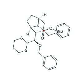 CC(C)(C)OC(=O)N1[C@H]2CC[C@@H]1[C@@H]([C@@H](OCc1ccccc1)C1SCCCS1)N(Cc1ccccc1)C2